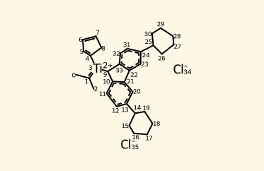 C[C](C)=[Ti+2]([C]1=CC=CC1)[CH]1c2ccc(C3CCCCC3)cc2-c2cc(C3CCCCC3)ccc21.[Cl-].[Cl-]